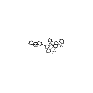 CC1(C)c2ccccc2-c2cc(-c3ccccc3N(c3cccc(-c4ccc5c(c4)oc4ccccc45)c3)c3cccc4c3-c3ccccc3C4(C)C)ccc21